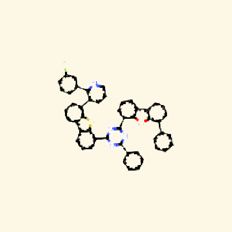 Fc1cccc(-c2ncccc2-c2cccc3c2sc2c(-c4nc(-c5ccccc5)nc(-c5cccc6c5oc5c(-c7ccccc7)cccc56)n4)cccc23)c1